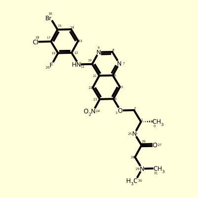 C[C@@H](COc1cc2ncnc(Nc3ccc(Br)c(Cl)c3F)c2cc1[N+](=O)[O-])[N]C(=O)CN(C)C